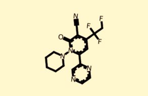 N#Cc1c(C(F)(F)CF)cc(-c2cnccn2)n(N2CCCCC2)c1=O